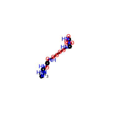 C[C@H]1CCCN1Cc1nc2cc(NC(=O)c3ccc(C(=O)NCCOCCOCCOCCOCCNc4cccc5c4C(=O)N(C4CCC(=O)NC4=O)C5=O)cc3)ccc2[nH]1